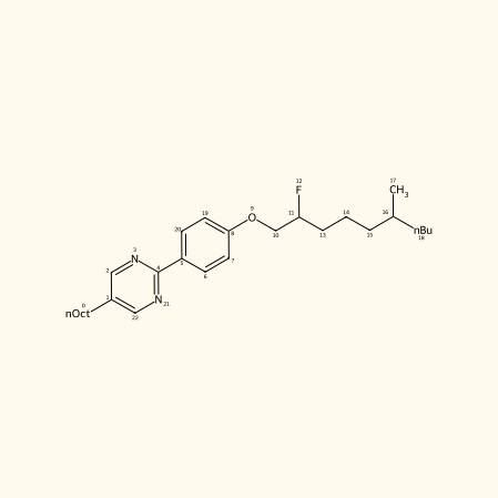 CCCCCCCCc1cnc(-c2ccc(OCC(F)CCCC(C)CCCC)cc2)nc1